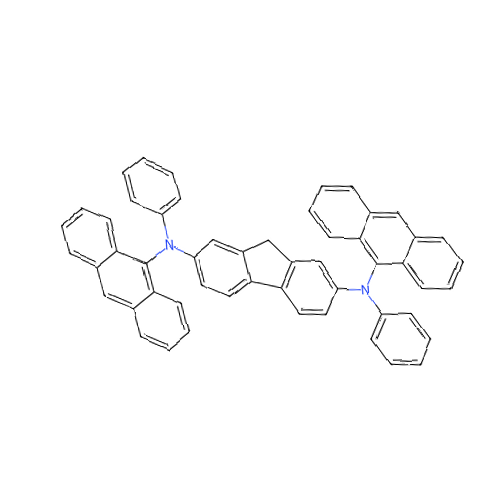 c1ccc(N(c2ccc3c(c2)Cc2cc(N(c4ccccc4)c4c5ccccc5cc5ccccc45)ccc2-3)c2c3ccccc3cc3ccccc23)cc1